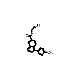 C#CCNC(=O)c1ccc2c(-c3ccc(C(F)(F)F)cc3)cccc2c1